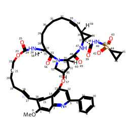 COc1cc2nc(-c3ccccc3)cc3c2cc1/C=C/CCCCOC(=O)N[C@H]1CCCCC/C=C\[C@@H]2C[C@@]2(C(=O)NS(=O)(=O)C2CC2)NC(=O)[C@@H]2C[C@H](CN2C1=O)O3